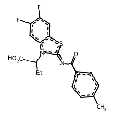 CCC(C(=O)O)n1/c(=N/C(=O)c2ccc(C)cc2)sc2cc(F)c(F)cc21